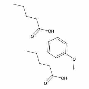 CCCCC(=O)O.CCCCC(=O)O.COc1ccccc1